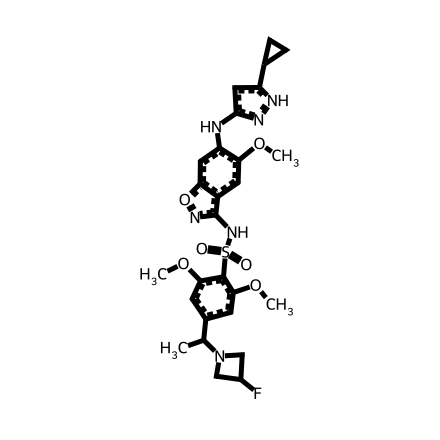 COc1cc2c(NS(=O)(=O)c3c(OC)cc(C(C)N4CC(F)C4)cc3OC)noc2cc1Nc1cc(C2CC2)[nH]n1